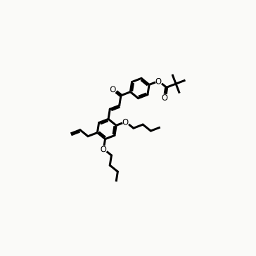 C=CCc1cc(C=CC(=O)c2ccc(OC(=O)C(C)(C)C)cc2)c(OCCCC)cc1OCCCC